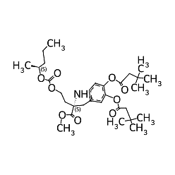 CCC[C@H](C)OC(=O)OCC[C@@](N)(Cc1ccc(OC(=O)CC(C)(C)C)c(OC(=O)CC(C)(C)C)c1)C(=O)OC